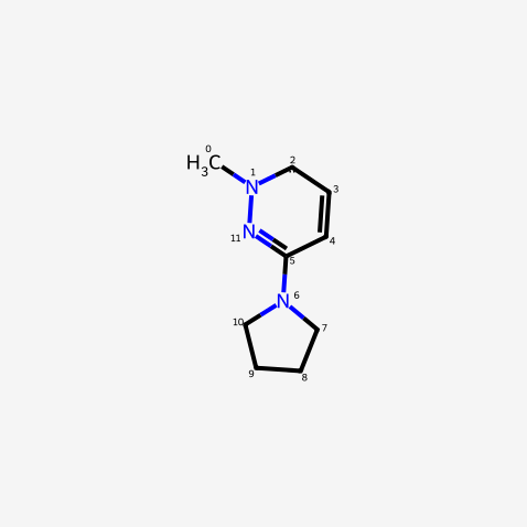 CN1[C]C=CC(N2CCCC2)=N1